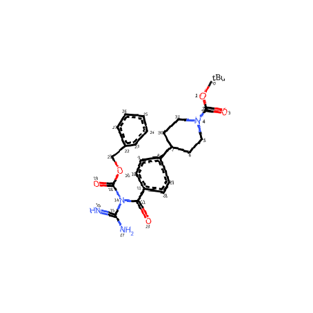 CC(C)(C)OC(=O)N1CCC(c2ccc(C(=O)N(C(=N)N)C(=O)OCc3ccccc3)cc2)CC1